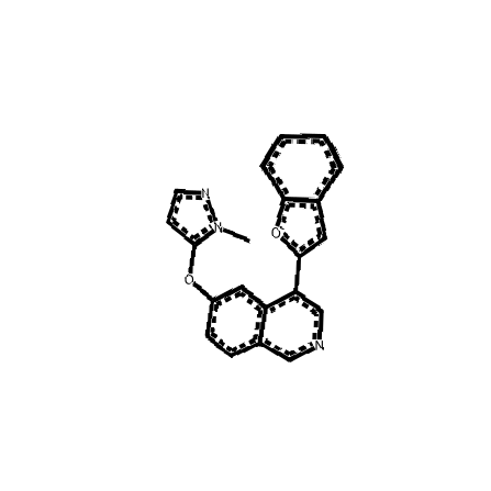 Cn1nccc1Oc1ccc2cncc(-c3cc4ccccc4o3)c2c1